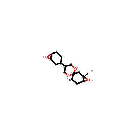 C1CC2OC2CC1C1COC2(CCC3O[C@H]3C2)OC1